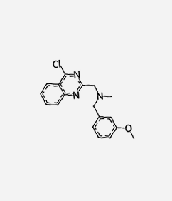 COc1cccc(CN(C)Cc2nc(Cl)c3ccccc3n2)c1